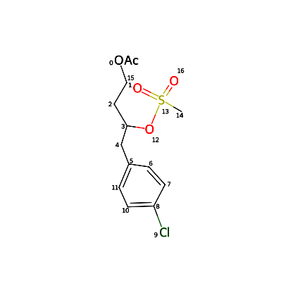 CC(=O)OCCC(Cc1ccc(Cl)cc1)OS(C)(=O)=O